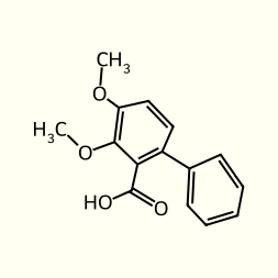 COc1ccc(-c2ccccc2)c(C(=O)O)c1OC